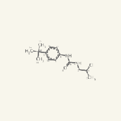 CC(Cl)CNC(=O)Nc1ccc(C(C)(C)C)cc1